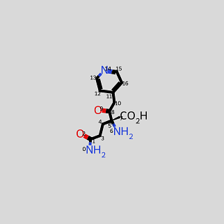 NC(=O)CC[C@](N)(C(=O)O)C(=O)Cc1ccncc1